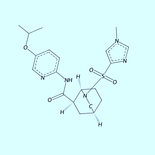 CC(C)Oc1ccc(NC(=O)[C@@H]2C[C@@H]3CC[C@H]2N(S(=O)(=O)c2cn(C)cn2)C3)nc1